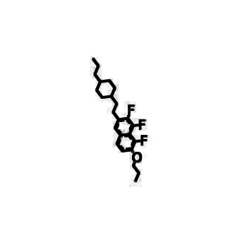 CCCOc1ccc2cc(CCC3CCC(CCC)CC3)c(F)c(F)c2c1F